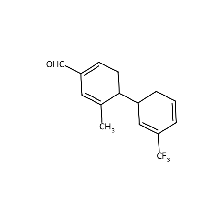 CC1=CC(C=O)=CCC1C1C=C(C(F)(F)F)C=CC1